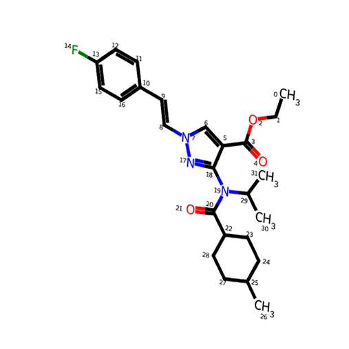 CCOC(=O)c1cn(C=Cc2ccc(F)cc2)nc1N(C(=O)C1CCC(C)CC1)C(C)C